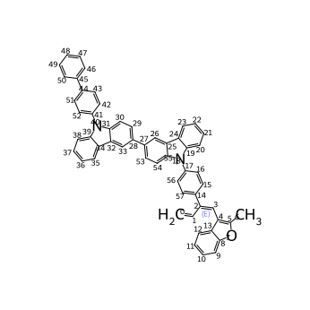 C=C/C(=C\c1c(C)oc2ccccc12)c1ccc(-n2c3ccccc3c3cc(-c4ccc5c(c4)c4ccccc4n5-c4ccc(-c5ccccc5)cc4)ccc32)cc1